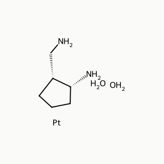 NC[C@H]1CCC[C@H]1N.O.O.[Pt]